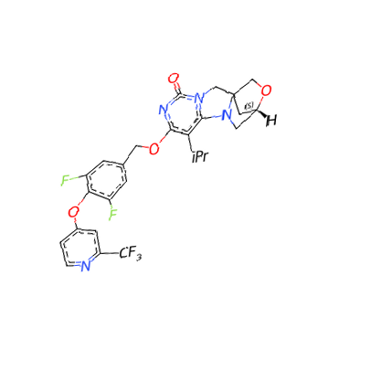 CC(C)c1c(OCc2cc(F)c(Oc3ccnc(C(F)(F)F)c3)c(F)c2)nc(=O)n2c1N1C[C@@H]3CC1(CO3)C2